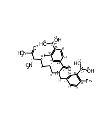 NC(=O)[C@@H](N)CCCCN(Cc1ccc(F)c(B(O)O)c1)C(=O)c1ccc(B(O)O)c(F)c1